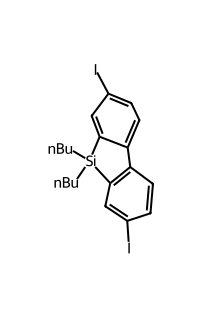 CCCC[Si]1(CCCC)c2cc(I)ccc2-c2ccc(I)cc21